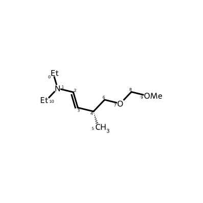 CCN(/C=C/[C@@H](C)COCOC)CC